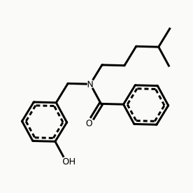 CC(C)CCCN(Cc1cccc(O)c1)C(=O)c1ccccc1